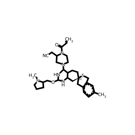 C=CC(=O)N1CCN(C2NC(OCC3CCCN3C)NC3C[C@]4(CCC32)Cc2ccc(C)cc2CS4)CC1CC#N